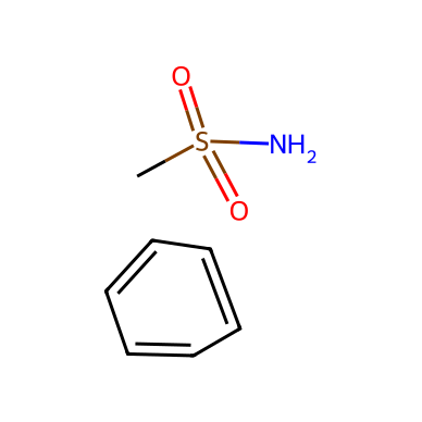 CS(N)(=O)=O.c1ccccc1